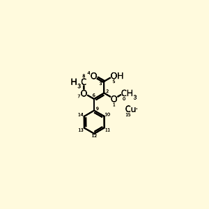 COC(C(=O)O)=C(OC)c1ccccc1.[Cu]